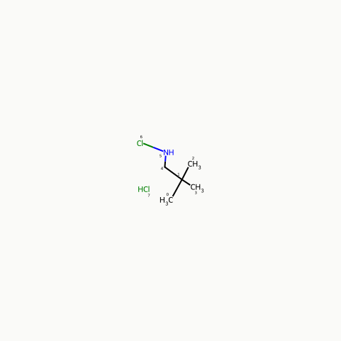 CC(C)(C)CNCl.Cl